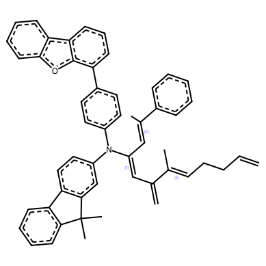 C=CCC/C=C(\C)C(=C)/C=C(\C=C(/C)c1ccccc1)N(c1ccc(-c2cccc3c2oc2ccccc23)cc1)c1ccc2c(c1)C(C)(C)c1ccccc1-2